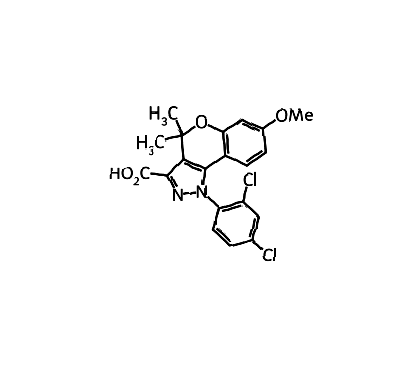 COc1ccc2c(c1)OC(C)(C)c1c(C(=O)O)nn(-c3ccc(Cl)cc3Cl)c1-2